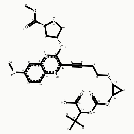 COC(=O)[C@@H]1C[C@@H](Oc2nc3cc(OC)ccc3nc2C#CCCC[C@@H]2C[C@H]2OC(=O)N[C@H](C(=O)O)C(C)(C)C)CN1